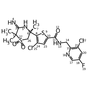 CC1(C)C(=N)N[C@](C)(c2sc(C(=O)NCc3ncc(F)cc3Cl)cc2Cl)CS1(=O)=O